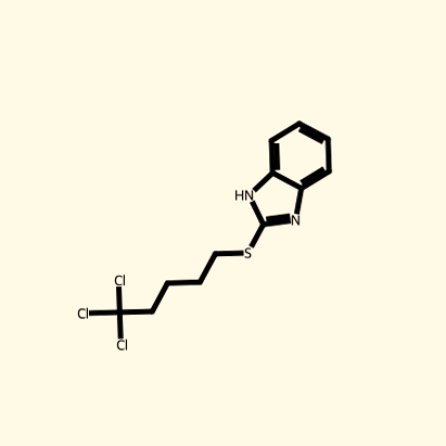 ClC(Cl)(Cl)CCCCSc1nc2ccccc2[nH]1